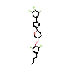 CCCCc1cc(F)c(OCC2CCC(c3ccc(-c4cc(F)c(F)c(F)c4)cc3)OC2)c(F)c1